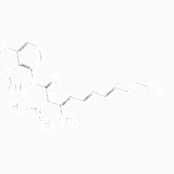 CCCC=CC=CC=C(C)[C@@H](C(=O)OC1=C(OC)C(C)=COC1)N(C)C